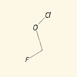 FCOCl